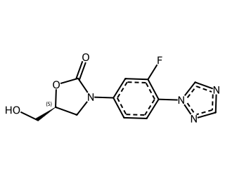 O=C1O[C@H](CO)CN1c1ccc(-n2cncn2)c(F)c1